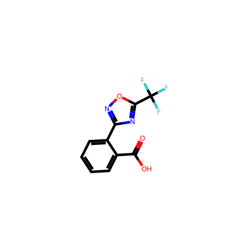 O=C(O)c1ccccc1-c1noc(C(F)(F)F)n1